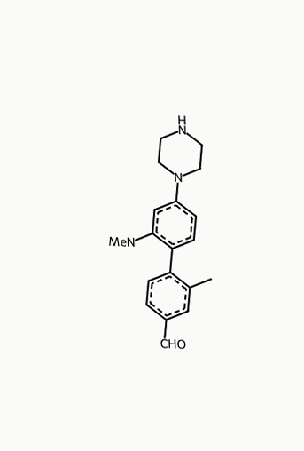 CNc1cc(N2CCNCC2)ccc1-c1ccc(C=O)cc1C